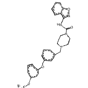 O=C(Nc1noc2ccccc12)N1CCN(Cc2cccc(Oc3cccc(OC(F)(F)F)c3)c2)CC1